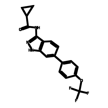 O=C(Nc1n[nH]c2cc(-c3ccc(OC(F)(F)F)cc3)ccc12)C1CC1